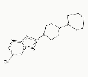 [C-]#[N+]c1cnc2nc(N3CCC(N4CCCCC4)CC3)sc2c1